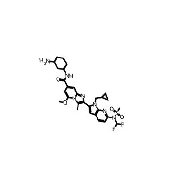 COc1cc(C(=O)NC2CCCC(N)C2)cc2nc(-c3cc4ccc(N(C(F)F)S(C)(=O)=O)nc4n3CC3CC3)c(C)n12